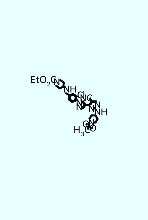 CCOC(=O)N1CCC(NCc2ccc(-n3cc(-c4nc(NC5CCN(S(C)(=O)=O)CC5)ncc4C#N)cn3)c(Cl)c2)CC1